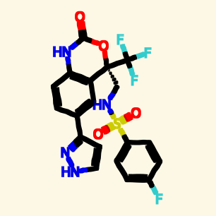 O=C1Nc2ccc(-c3cc[nH]n3)cc2[C@](CNS(=O)(=O)c2ccc(F)cc2)(C(F)(F)F)O1